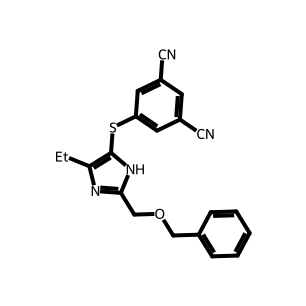 CCc1nc(COCc2ccccc2)[nH]c1Sc1cc(C#N)cc(C#N)c1